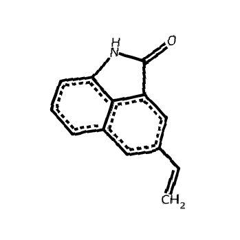 C=Cc1cc2c3c(cccc3c1)NC2=O